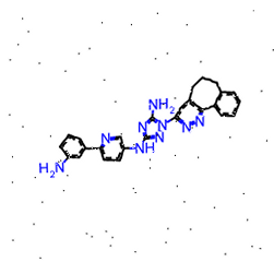 Nc1cccc(-c2ccc(Nc3nc(N)n(-c4cc5c(nn4)-c4ccccc4CCC5)n3)cn2)c1